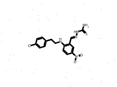 NC(=S)NN=Cc1cc([N+](=O)[O-])ccc1NCCc1ccc(Cl)cc1